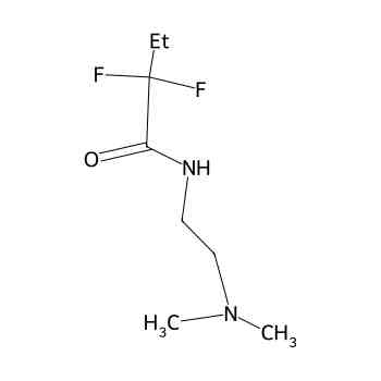 CCC(F)(F)C(=O)NCCN(C)C